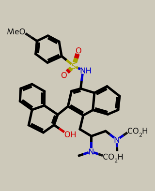 COc1ccc(S(=O)(=O)Nc2cc(-c3c(O)ccc4ccccc34)c(CC(CN(C)C(=O)O)N(C)C(=O)O)c3ccccc23)cc1